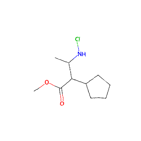 COC(=O)C(C1CCCC1)C(C)NCl